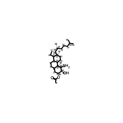 CC(=O)O[C@@H]1CC2CCC3C(CC[C@@]4(C)C3CC[C@@H]4[C@H](C)CCCC(C)C)[C@@]2(C)[C@@H](N)[C@@H]1O